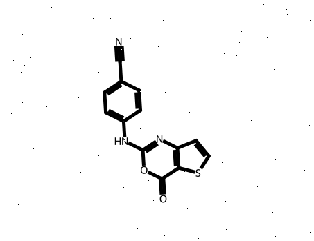 N#Cc1ccc(Nc2nc3ccsc3c(=O)o2)cc1